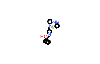 OC(CN1CCC(Cn2sc3ccccc3[nH]c3ccccc32)CC1)C12CC3CC(CC(C3)C1)C2